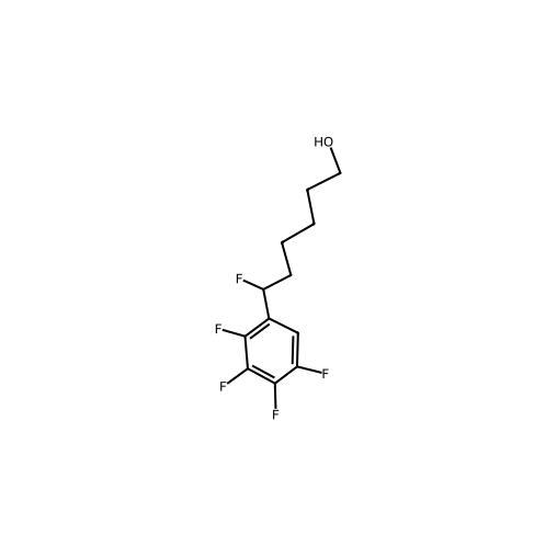 OCCCCCC(F)c1cc(F)c(F)c(F)c1F